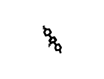 CC1CCC(c2ccc(C3CCC(=S)CC3)cc2F)CC1